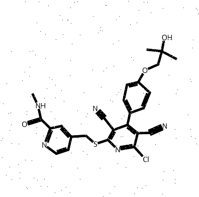 CNC(=O)c1cc(CSc2nc(Cl)c(C#N)c(-c3ccc(OCC(C)(C)O)cc3)c2C#N)ccn1